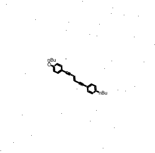 CCCCOc1ccc(C#C/C=C/C#Cc2ccc(CCCC)cc2)cc1